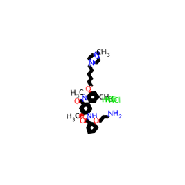 COc1cc(C(=O)N(C)c2ccc(C)cc2OCCCCCCN2CCN(C)CC2)ccc1NC(=O)c1ccccc1OCCCN.Cl.Cl.Cl